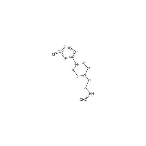 O=CNCCN1CCN(c2cccc(Cl)c2)CC1